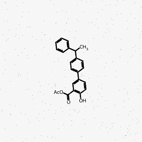 CC(=O)OC(=O)c1cc(-c2ccc(C(C)c3ccccc3)cc2)ccc1O